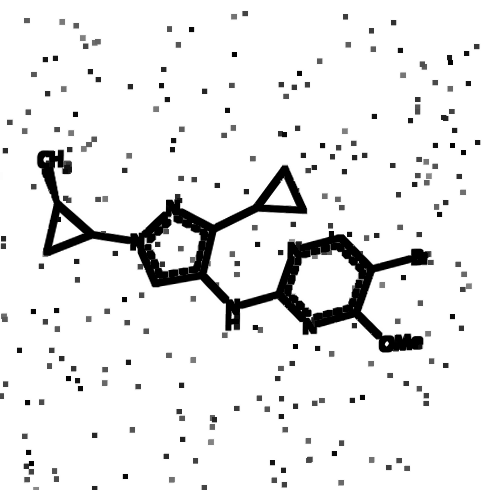 COc1nc(Nc2cn(C3C[C@H]3C)nc2C2CC2)ncc1Br